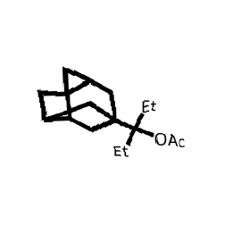 CCC(CC)(OC(C)=O)C12CC3CC4(CC4C1)C3C2